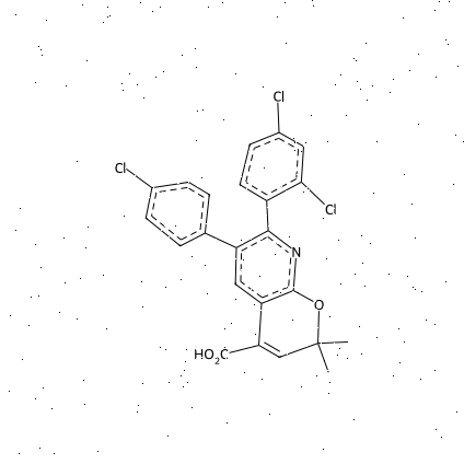 CC1(C)C=C(C(=O)O)c2cc(-c3ccc(Cl)cc3)c(-c3ccc(Cl)cc3Cl)nc2O1